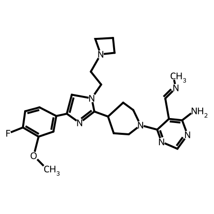 C/N=C/c1c(N)ncnc1N1CCC(c2nc(-c3ccc(F)c(OC)c3)cn2CCN2CCC2)CC1